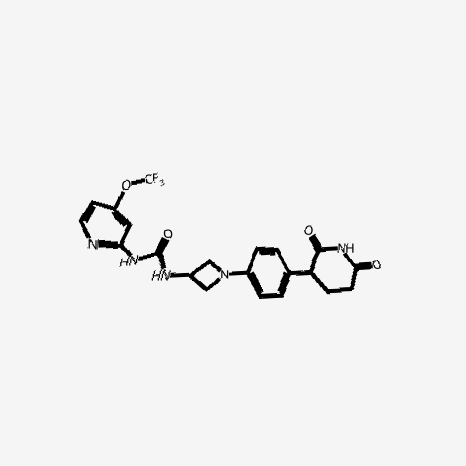 O=C1CCC(c2ccc(N3CC(NC(=O)Nc4cc(OC(F)(F)F)ccn4)C3)cc2)C(=O)N1